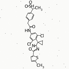 Cc1ccc(-c2nc(C3(c4c(Cl)cc(NC(=O)Cc5ccc(C(C)[SH](=O)=O)cc5)cc4Cl)CC3)no2)s1